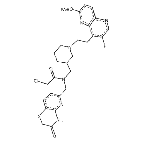 COc1ccc2ncc(F)c(CCN3CCCC(CN(Cc4ccc5c(n4)NC(=O)CS5)C(=O)CCl)C3)c2n1